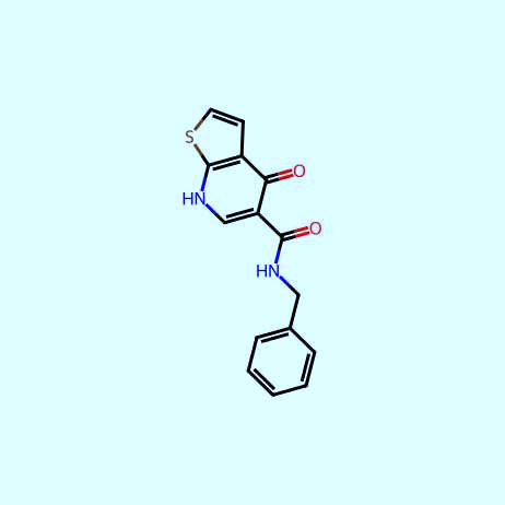 O=C(NCc1ccccc1)c1c[nH]c2sccc2c1=O